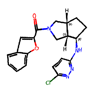 O=C(c1cc2ccccc2o1)N1C[C@@H]2CC[C@@H](Nc3ccc(Cl)nn3)[C@@H]2C1